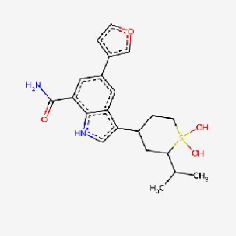 CC(C)C1CC(c2c[nH]c3c(C(N)=O)cc(-c4ccoc4)cc23)CCS1(O)O